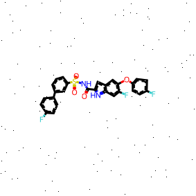 O=C(NS(=O)(=O)c1cccc(-c2ccc(F)cc2)c1)c1cc2cc(Oc3ccc(F)cc3)c(F)cc2[nH]1